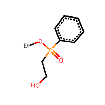 CCOP(=O)(CCO)c1ccccc1